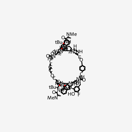 CCCN(C(=O)[C@@H](NC(=O)[C@H](C)NC)C(C)(C)C)[C@@H]1C(=O)N[C@@H](Cc2ccc3ccccc3c2)C(=O)N[C@H](C(=O)NCc2cc(F)c(O)c(F)c2)Cc2ccc(cc2)OCC2=CN(NN2)[C@@H]2CCN(C(=O)[C@@H](NC(=O)[C@H](C)NC)C(C)(C)C)[C@@H]2C(=O)N[C@@H](Cc2ccc3ccccc3c2)C(=O)N[C@H](C(=O)OC)Cc2ccc(cc2)OCc2cn1nn2